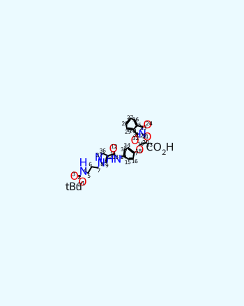 CC(C)(C)OC(=O)NCCCn1cc(C(=O)Nc2ccc(OCC(ON3C(=O)c4ccccc4C3=O)C(=O)O)cc2)cn1